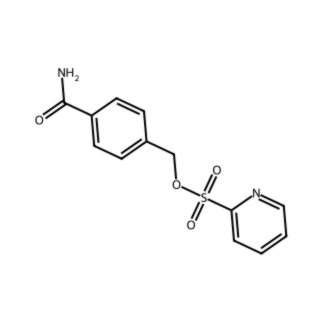 NC(=O)c1ccc(COS(=O)(=O)c2ccccn2)cc1